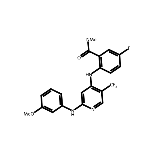 CNC(=O)c1cc(F)ccc1Nc1cc(Nc2cccc(OC)c2)ncc1C(F)(F)F